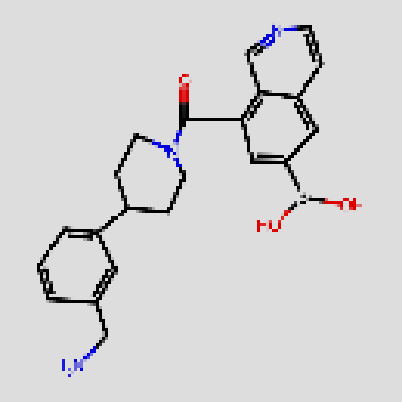 NCc1cccc(C2CCN(C(=O)c3cc(B(O)O)cc4ccncc34)CC2)c1